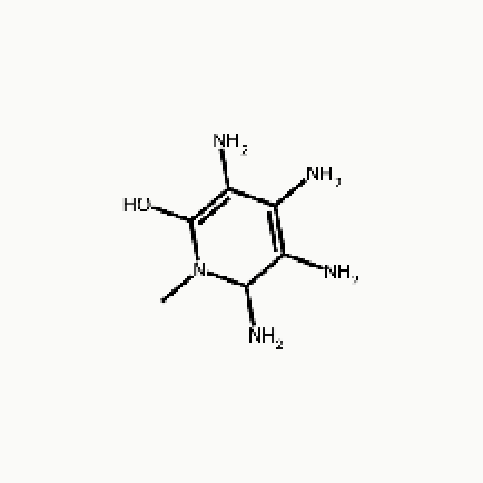 CN1C(O)=C(N)C(N)=C(N)C1N